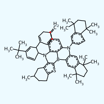 C=Cc1cc2c3c(c1)N(C1C=CC(C(C)(C)C)=CC1C1=CCCC=C1)c1c(sc4c1CC(C)CC4)B3c1cc3c(cc1N2c1ccc2c(c1)C(C)(C)CCC2(C)C)C(C)(C)CCC3(C)C